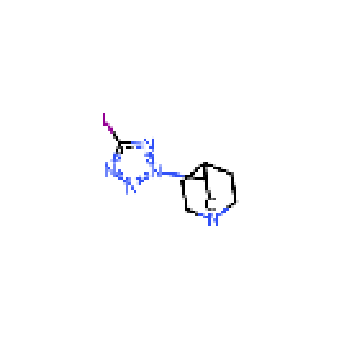 Ic1nnn(C2CN3CCC2CC3)n1